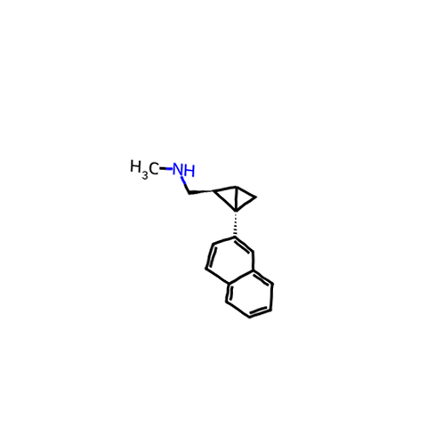 CNC[C@H]1C2C[C@]21c1ccc2ccccc2c1